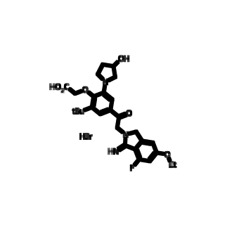 Br.CCOc1cc(F)c2c(c1)CN(CC(=O)c1cc(N3CCC(O)C3)c(OCC(=O)O)c(C(C)(C)C)c1)C2=N